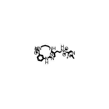 Cc1ncc(S(=O)(=O)NCCc2cnc3nc2NCCCNS(=O)(=O)c2cccc(c2)N3)n1C